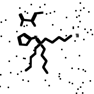 C=C(C)C(C)=CC.CCCCCP(CCCCC)(CCCCC)=NC1=CC=CC1.[Ti]